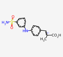 C/C(=C\c1ccc(Nc2cccc(S(N)(=O)=O)c2)cc1)C(=O)O